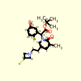 Cc1cc(CCN2CC(F)C2)cn(C(C(=O)OC(C)(C)C)c2cc(Br)ccc2F)c1=O